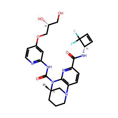 O=C(N[C@H]1C=CC1(F)F)c1ccc2c(n1)N(C(=O)Nc1cc(OC[C@H](O)CO)ccn1)[C@H]1CCCN2C1